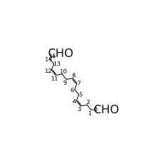 O=CCC/C=C\CC/C=C\CC/C=C\CCC=O